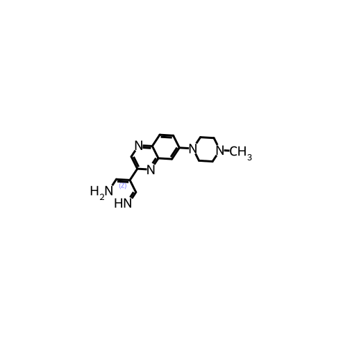 CN1CCN(c2ccc3ncc(/C(C=N)=C/N)nc3c2)CC1